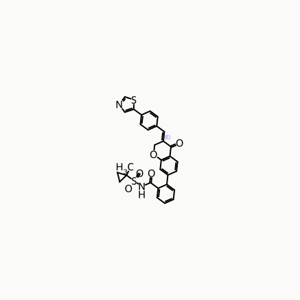 CC1(S(=O)(=O)NC(=O)c2ccccc2-c2ccc3c(c2)OC/C(=C\c2ccc(-c4cncs4)cc2)C3=O)CC1